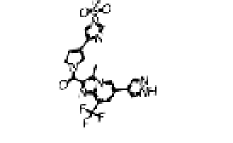 Cc1c(C(=O)N2CC=C(c3cn(S(=O)(=O)N(C)C)cn3)C2)nc2c(C(F)(F)F)cc(-c3cn[nH]c3)cn12